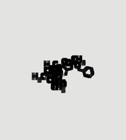 COC(=O)[C@H](C[C@@H](O[Si](C)(C)C(C)(C)C)C(=O)OC)CP(C)(=O)OCc1ccccc1